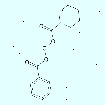 O=C(OOOC(=O)C1CCCCC1)c1ccccc1